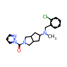 CN(Cc1ccccc1Cl)C1CC2CN(C(=O)n3cccn3)CC2C1